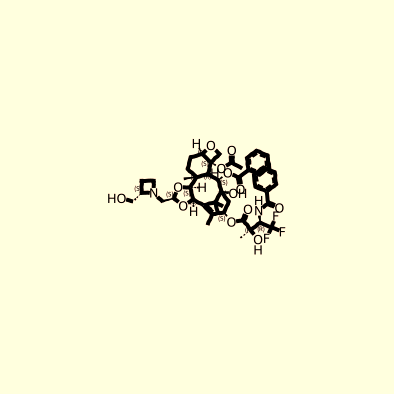 CC(=O)O[C@@]12CO[C@@H]1CC[C@@]1(C)[C@@H]3O[C@H](CN4CC[C@H]4CO)O[C@@H]3C3=C(C)[C@@H](OC(=O)[C@](C)(O)[C@@H](NC(=O)c4ccccc4)C(F)(F)F)C[C@@](O)([C@@H](OC(=O)c4ccccc4)[C@@H]12)C3(C)C